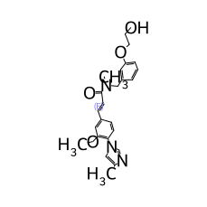 COc1cc(/C=C/C(=O)N(C)Cc2cccc(OCCO)c2)ccc1-n1cnc(C)c1